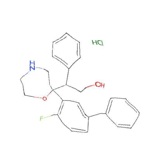 Cl.OCC(c1ccccc1)C1(c2cc(-c3ccccc3)ccc2F)CNCCO1